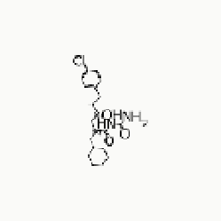 NC(=O)NC(=O)[C@H](CC1CCCCC1)C[C@@H](O)[CH]Cc1ccc(Cl)cc1